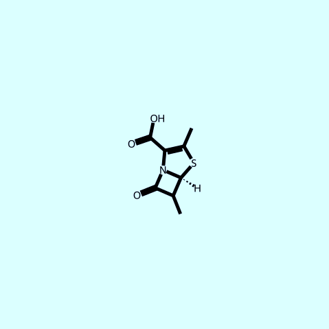 CC1=C(C(=O)O)N2C(=O)C(C)[C@@H]2S1